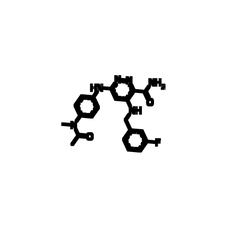 CC(=O)N(C)c1ccc(Nc2cc(NCc3cccc(F)c3)c(C(N)=O)nn2)cc1